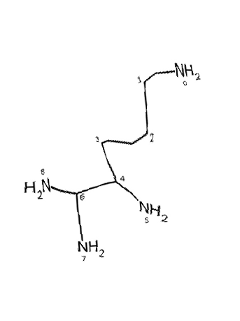 NCCCC(N)C(N)N